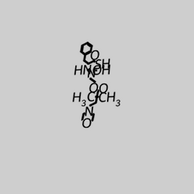 CC(C)(CCN1CCOCC1)C(=O)OCCN(O)NC(Cc1ccccc1)C(=O)S